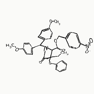 CCC1(Sc2ccccc2)C(=O)N(C(c2ccc(OC)cc2)c2ccc(OC)cc2)C1C(=O)OCc1ccc([N+](=O)[O-])cc1